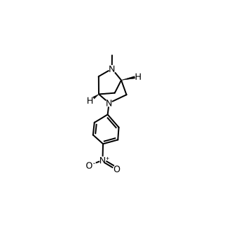 CN1C[C@@H]2C[C@H]1CN2c1ccc([N+](=O)[O-])cc1